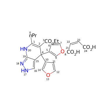 CCCC1=C(C(=O)OCC)C(c2ccoc2)(c2ccoc2)c2c[nH]nc2N1.O=C(O)/C=C\C(=O)O